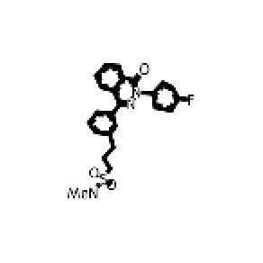 CNS(=O)(=O)CCCc1cccc(-c2nn(-c3ccc(F)cc3)c(=O)c3ccccc23)c1